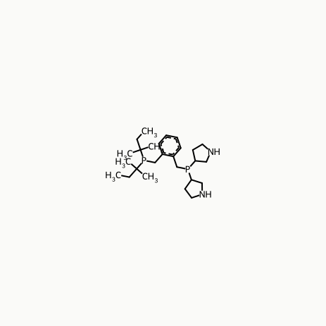 CCC(C)(C)P(Cc1ccccc1CP(C1CCNC1)C1CCNC1)C(C)(C)CC